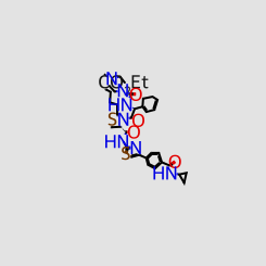 CCOC(=O)CCCCC1SC[C@@H](C(=O)Nc2nc(-c3ccc(C(=O)NC4CC4)cc3)cs2)N1C(=O)[C@H](NC(=O)N1CCN(C)CC1)C1=CC=CCC1